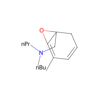 CCCCN(CCC)CC12CC=CC(C)=C1O2